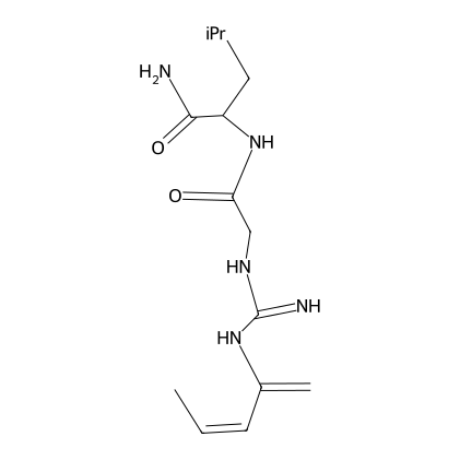 C=C(/C=C\C)NC(=N)NCC(=O)NC(CC(C)C)C(N)=O